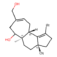 CC(C)C1=C2[C@H]3CC=C(CO)CC(O)[C@]3(C)CC[C@@]2(C#N)CC1